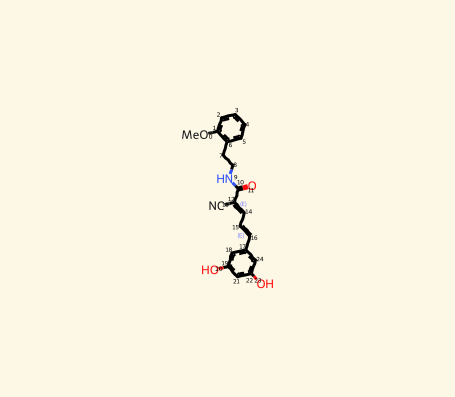 COc1ccccc1CCNC(=O)/C(C#N)=C/C=C/c1cc(O)cc(O)c1